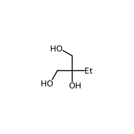 CCC(O)(CO)CO